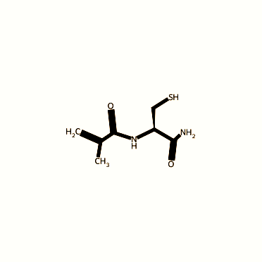 C=C(C)C(=O)N[C@@H](CS)C(N)=O